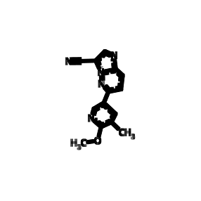 COc1ncc(-c2ccc3ncc(C#N)n3n2)cc1C